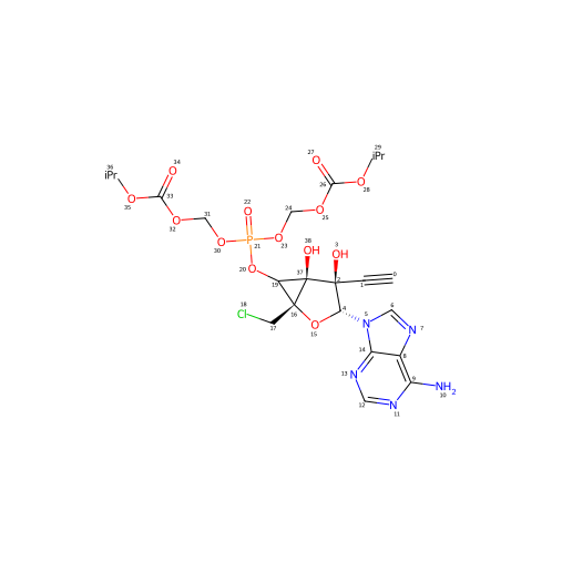 C#C[C@]1(O)[C@H](n2cnc3c(N)ncnc32)O[C@]2(CCl)C(OP(=O)(OCOC(=O)OC(C)C)OCOC(=O)OC(C)C)[C@@]21O